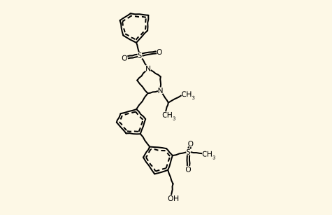 CC(C)N1CN(S(=O)(=O)c2ccccc2)CC1c1cccc(-c2ccc(CO)c(S(C)(=O)=O)c2)c1